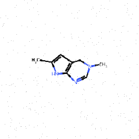 Cc1cc2c([nH]1)N=CN(C)C2